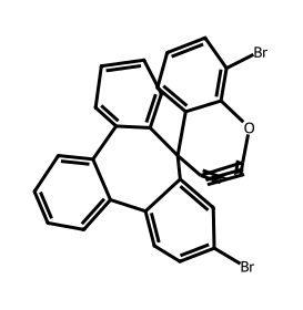 Brc1ccc2c(c1)C1(c3ccccc3Oc3c(Br)cccc31)c1ccccc1-c1ccccc1-2